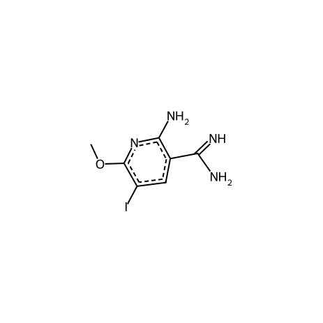 COc1nc(N)c(C(=N)N)cc1I